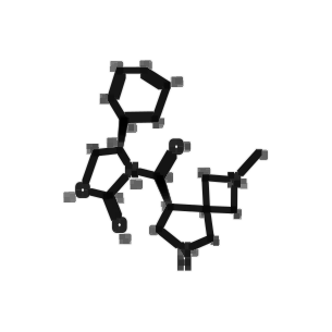 CN1CC2(CNC[C@H]2C(=O)N2C(=O)OC[C@H]2c2ccccc2)C1